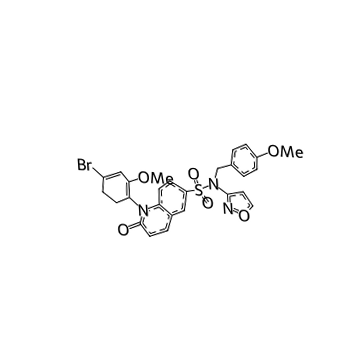 COC1=C(n2c(=O)ccc3cc(S(=O)(=O)N(Cc4ccc(OC)cc4)c4ccon4)ccc32)CCC(Br)=C1